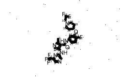 Cc1nsc(Nc2cncc(C(F)(F)F)n2)c1C(=O)Nc1ccc(F)c(OC2CCN(CC(F)F)CC2)c1